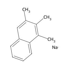 Cc1cc2ccccc2c(C)c1C.[Na]